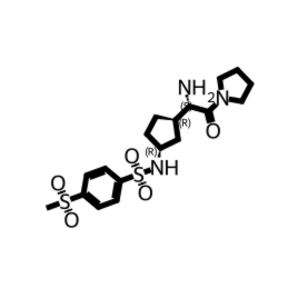 CS(=O)(=O)c1ccc(S(=O)(=O)N[C@@H]2CC[C@@H]([C@H](N)C(=O)N3CCCC3)C2)cc1